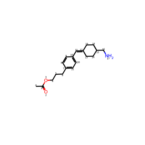 CC(=O)OCCCc1ccc(C=C2CCC(CN)CC2)cc1